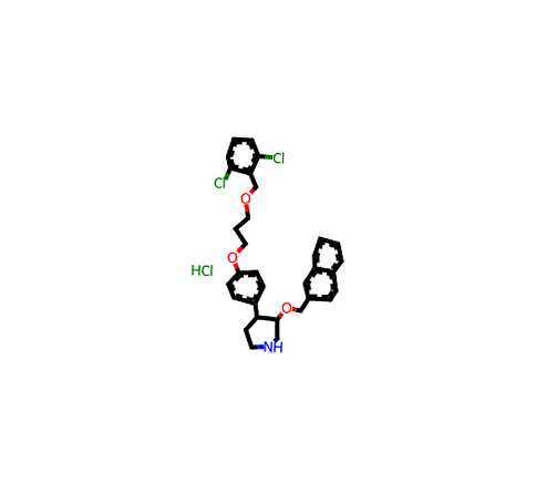 Cl.Clc1cccc(Cl)c1COCCCOc1ccc(C2CCNCC2OCc2ccc3ccccc3c2)cc1